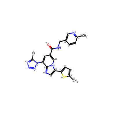 CCc1nnnn1-c1cc(C(=O)NCc2ccc(C)nc2)cn2c(-c3ccc(C)s3)cnc12